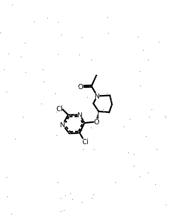 CC(=O)N1CCC[C@@H](Oc2nc(Cl)ncc2Cl)C1